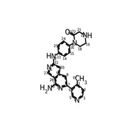 Cc1ccncc1-c1cc2cc(Nc3ccc(N4CCNCC4=O)cc3)ncc2c(N)n1